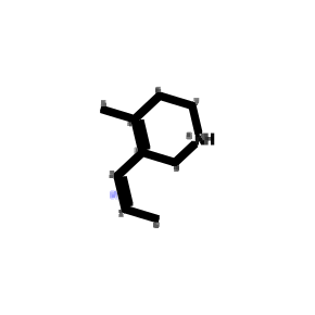 C/C=C\C1=C(C)CCNC1